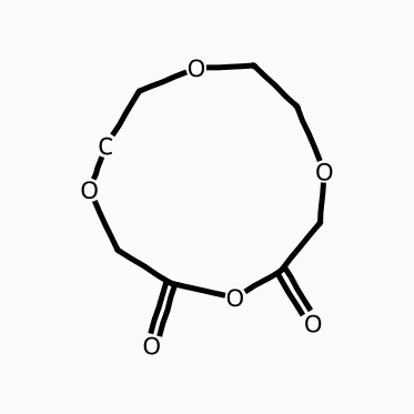 O=C1COCCOCCOCC(=O)O1